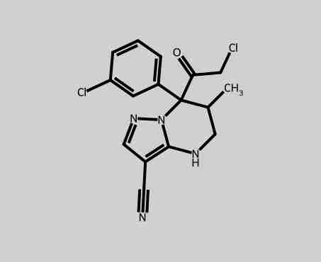 CC1CNc2c(C#N)cnn2C1(C(=O)CCl)c1cccc(Cl)c1